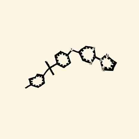 Cc1ccc(C(C)(C)c2ccc(Sc3cnc(-n4nccn4)nc3)cc2)cc1